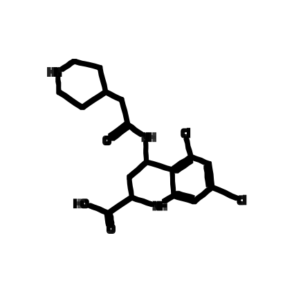 O=C(CC1CCNCC1)NC1CC(C(=O)O)Nc2cc(Cl)cc(Cl)c21